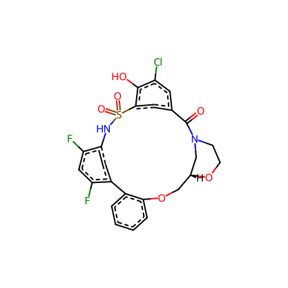 O=C1c2cc(Cl)c(O)c(c2)S(=O)(=O)Nc2cc(c(F)cc2F)-c2ccccc2OC[C@@H]2CN1CCO2